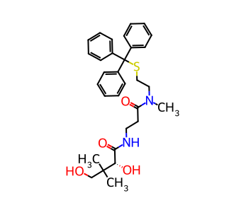 CN(CCSC(c1ccccc1)(c1ccccc1)c1ccccc1)C(=O)CCNC(=O)[C@H](O)C(C)(C)CO